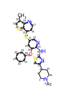 CC(=O)N1CCC(c2csc(Nc3ncc(Sc4ccnc5c(C)csc45)cc3Oc3ccccc3)n2)CC1